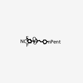 CCCCCC1CCC(CCC2COC(c3cc(F)c(C#N)c(F)c3)OC2)CC1